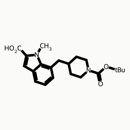 Cn1c(C(=O)O)cc2cccc(CC3CCN(C(=O)OC(C)(C)C)CC3)c21